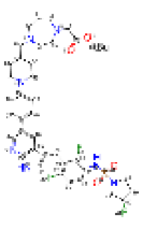 CC(C)(C)OC(=O)CN1CCCN(CC2CCN(c3ccc(-c4cnc5[nH]cc(Cc6c(F)ccc(NS(=O)(=O)N7CC[C@@H](F)C7)c6F)c5c4)cc3)CC2)CC1